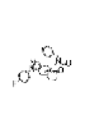 C[C@]12Cc3cnn(-c4ccc(F)cc4)c3C=C1CCC[C@@]21CN(Cc2ccccc2)C(=O)O1